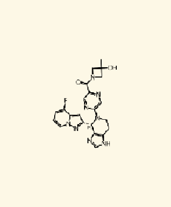 CC1(O)CN(C(=O)c2cnc(N3CCc4[nH]cnc4[C@@H]3c3cc4c(F)cccn4n3)cn2)C1